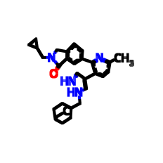 Cc1ccc(/C(C=N)=C/NCC23CCC(CC2)CC3)c(-c2ccc3c(c2)C(=O)N(CC2CC2)C3)n1